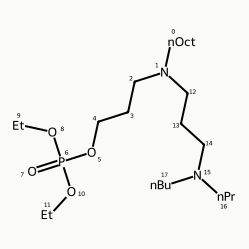 CCCCCCCCN(CCCOP(=O)(OCC)OCC)CCCN(CCC)CCCC